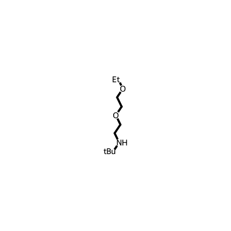 [CH2]COCCOCCNC(C)(C)C